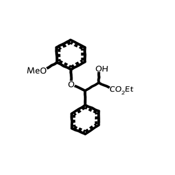 CCOC(=O)C(O)C(Oc1ccccc1OC)c1ccccc1